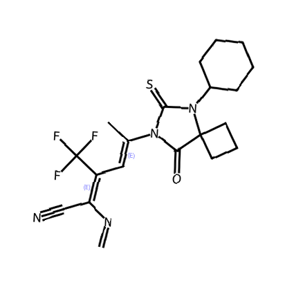 C=N/C(C#N)=C(\C=C(/C)N1C(=O)C2(CCC2)N(C2CCCCC2)C1=S)C(F)(F)F